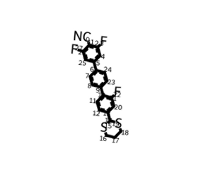 N#Cc1c(F)cc(-c2ccc(-c3ccc(C4SCCCS4)cc3F)cc2)cc1F